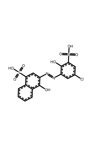 O=S(=O)(O)c1cc(Cl)cc(N=Nc2cc(S(=O)(=O)O)c3ccccc3c2O)c1O